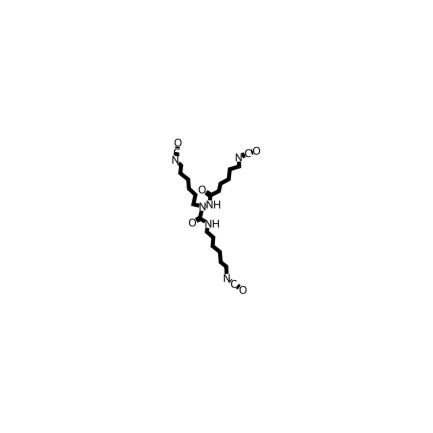 O=C=NCCCCCCNC(=O)N(CCCCCCN=C=O)NC(=O)CCCCCN=C=O